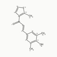 Cc1cc(C=CC(=O)c2ccsc2C)cc(C)c1O